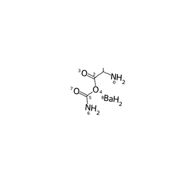 NCC(=O)OC(N)=O.[BaH2]